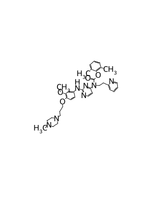 COc1cc(Nc2nccc(N(CCc3ccccn3)C(=O)Oc3c(C)cccc3C)n2)ccc1OCCCN1CCN(C)CC1